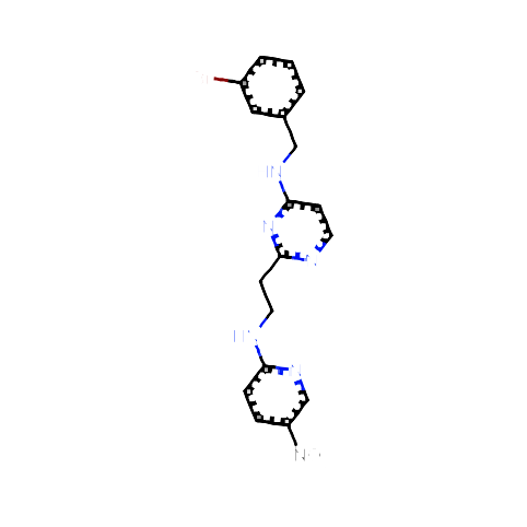 O=[N+]([O-])c1ccc(NC[CH]c2nccc(NCc3cccc(Br)c3)n2)nc1